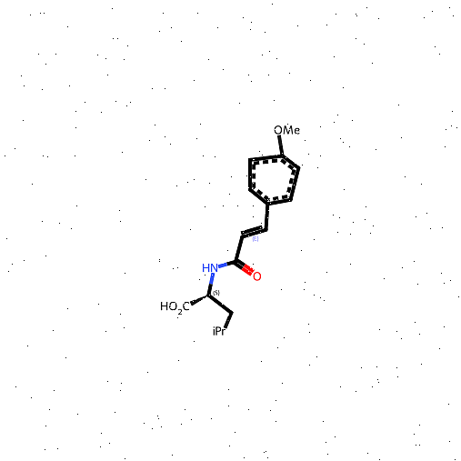 COc1ccc(/C=C/C(=O)N[C@@H](CC(C)C)C(=O)O)cc1